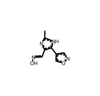 Cc1nc(C=NO)c(-c2cnoc2)[nH]1